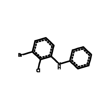 Clc1c(Br)cccc1Nc1ccccc1